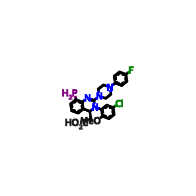 COc1ccc(Cl)cc1N1C(N2CCN(c3ccc(F)cc3)CC2)=Nc2c(P)cccc2C1CC(=O)O